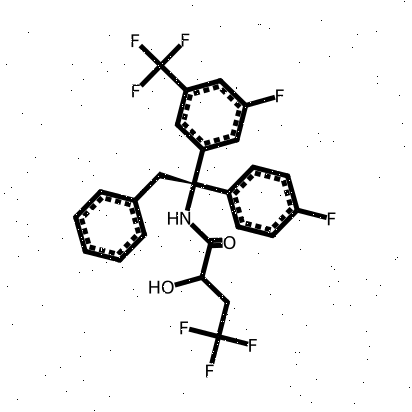 O=C(N[C@@](Cc1ccccc1)(c1ccc(F)cc1)c1cc(F)cc(C(F)(F)F)c1)C(O)CC(F)(F)F